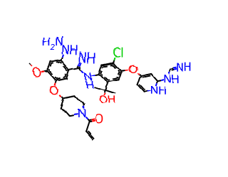 C=CC(=O)N1CCC(Oc2cc(C(=N)Nc3cc(Cl)c(OC4=CC(NC=N)NC=C4)cc3C(C)(C)O)c(NN)cc2OC)CC1